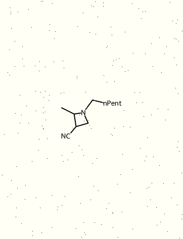 CCCCCCN1CC(C#N)C1C